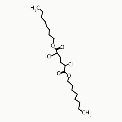 CCCCCCCCOC(=O)C(Cl)CCC(Cl)C(=O)OCCCCCCCC